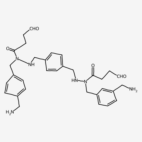 NCc1ccc(CN(NCc2ccc(CNN(Cc3cccc(CN)c3)C(=O)CCC=O)cc2)C(=O)CCC=O)cc1